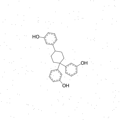 Oc1cccc(C2CCC(c3cccc(O)c3)(c3cccc(O)c3)CC2)c1